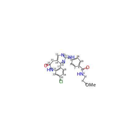 COCCNC(=O)c1ccc(Nc2ncc3c(n2)-c2ccc(Cl)cc2NC(=O)C3)cc1